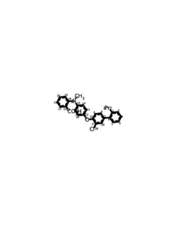 CC(C)c1ccccc1-c1ccc(Oc2ccc(N(C)c3ccccc3C(=O)O)cc2)c(Cl)c1